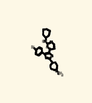 CN1CCC(c2nc(-c3ccc(F)cc3)c(-c3ccnc(NC4CCCCC4)n3)s2)CC1